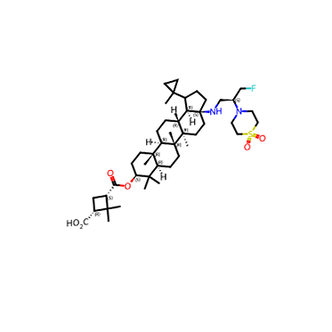 CC1(C2CC[C@]3(NC[C@@H](CF)N4CCS(=O)(=O)CC4)CC[C@]4(C)[C@H](CC[C@@H]5[C@@]6(C)CC[C@H](OC(=O)[C@H]7C[C@@H](C(=O)O)C7(C)C)C(C)(C)[C@@H]6CC[C@]54C)[C@@H]23)CC1